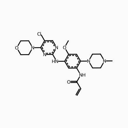 C=CC(=O)Nc1cc(Nc2ncc(Cl)c(N3CCOCC3)n2)c(OC)cc1N1CCN(C)CC1